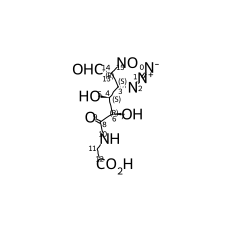 [N-]=[N+]=N[C@H]([C@H](O)[C@@H](O)C(=O)NCC(=O)O)[C@H](C=O)N=O